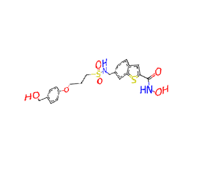 O=C(NO)c1cc2ccc(CNS(=O)(=O)CCCOc3ccc(CO)cc3)cc2s1